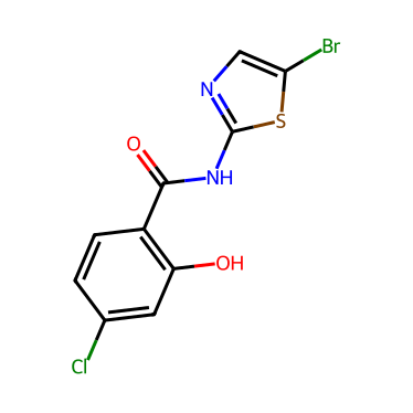 O=C(Nc1ncc(Br)s1)c1ccc(Cl)cc1O